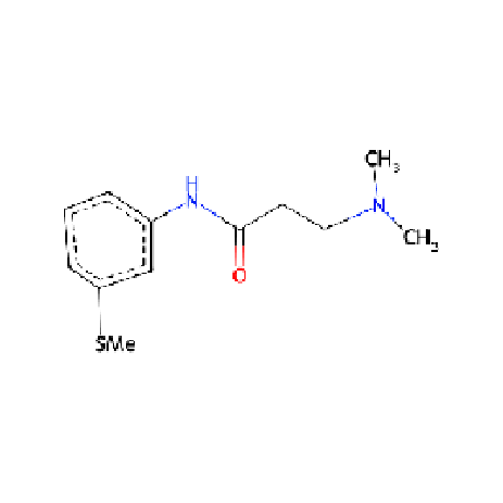 CSc1cccc(NC(=O)CCN(C)C)c1